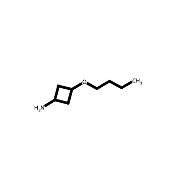 CCCCOC1CC(N)C1